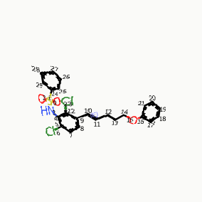 O=S(=O)(Nc1c(Cl)ccc(/C=C/CCCOc2[c]cccc2)c1Cl)c1ccccc1